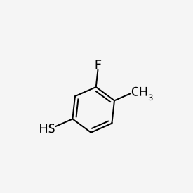 Cc1ccc(S)cc1F